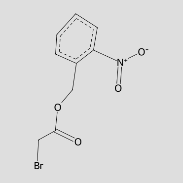 O=C(CBr)OCc1ccccc1[N+](=O)[O-]